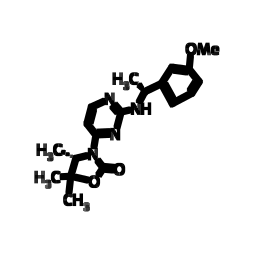 COc1cccc([C@H](C)Nc2nccc(N3C(=O)OC(C)(C)[C@@H]3C)n2)c1